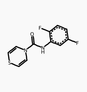 O=C(Nc1cc(F)ccc1F)N1C=CSC=C1